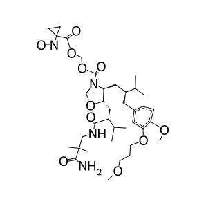 COCCCOc1cc(C[C@@H](C[C@H]2[C@H](C[C@H](C(=O)NCC(C)(C)C(N)=O)C(C)C)OCN2C(=O)OCOC(=O)C2(N=O)CC2)C(C)C)ccc1OC